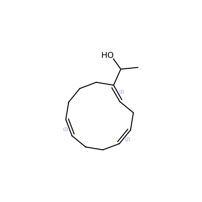 CC(O)/C1=C\C/C=C\CC/C=C\CCC1